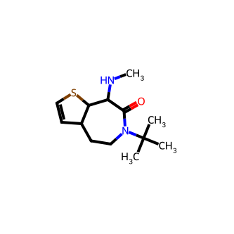 CNC1C(=O)N(C(C)(C)C)CCC2C=CSC21